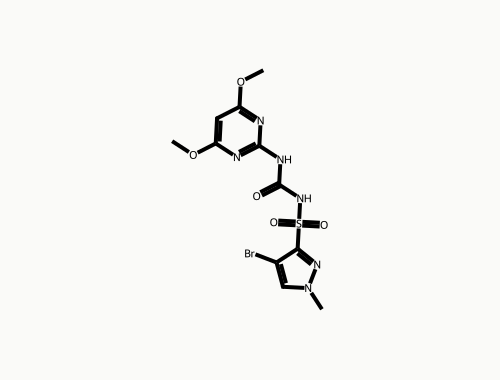 COc1cc(OC)nc(NC(=O)NS(=O)(=O)c2nn(C)cc2Br)n1